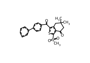 CC1(C)CC(=O)c2c(S(C)(=O)=O)sc(C(=O)c3ccc(-c4ccccc4)cc3)c2C1